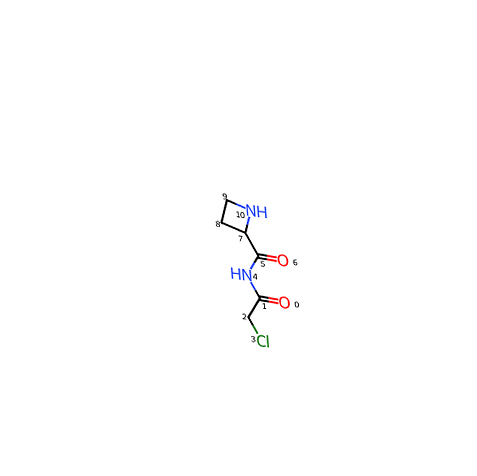 O=C(CCl)NC(=O)C1CCN1